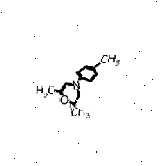 Cc1ccc(N2CC(C)O[C@@H](C)C2)cc1